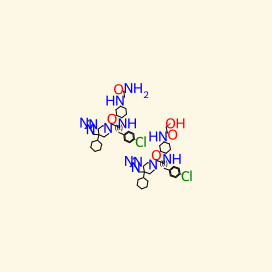 NC(=O)CN[C@H]1CC[C@@H](N[C@H](Cc2ccc(Cl)cc2)C(=O)N2CCC(Cn3cncn3)(C3CCCCC3)CC2)CC1.O=C(CO)N[C@H]1CC[C@@H](N[C@H](Cc2ccc(Cl)cc2)C(=O)N2CCC(Cn3cncn3)(C3CCCCC3)CC2)CC1